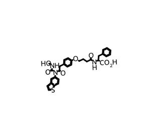 O=C(CCCOc1ccc(CC(=O)N(C(=O)NO)c2ccc3sccc3c2)cc1)NC(Cc1ccccc1)C(=O)O